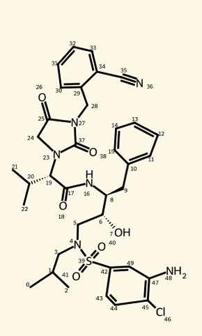 CC(C)CN(C[C@@H](O)[C@H](Cc1ccccc1)NC(=O)[C@H](C(C)C)N1CC(=O)N(Cc2ccccc2C#N)C1=O)S(=O)(=O)c1ccc(Cl)c(N)c1